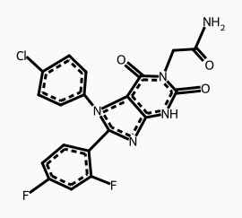 NC(=O)Cn1c(=O)[nH]c2nc(-c3ccc(F)cc3F)n(-c3ccc(Cl)cc3)c2c1=O